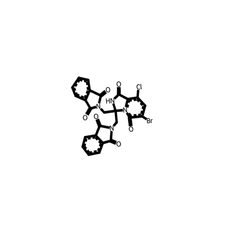 O=C1NC(CN2C(=O)c3ccccc3C2=O)(CN2C(=O)c3ccccc3C2=O)n2c1c(Cl)cc(Br)c2=O